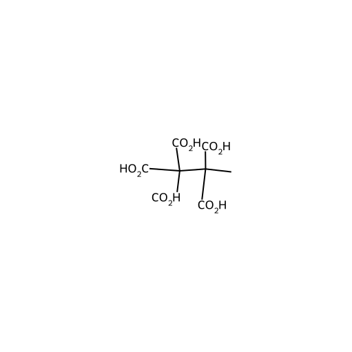 CC(C(=O)O)(C(=O)O)C(C(=O)O)(C(=O)O)C(=O)O